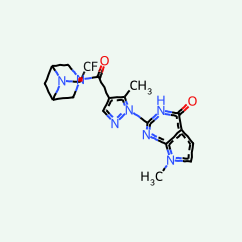 Cc1c(C(=O)N2CC3CC(C2)N3CC(F)(F)F)cnn1-c1nc2c(ccn2C)c(=O)[nH]1